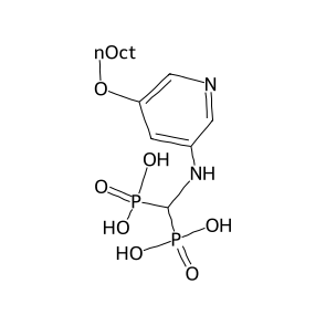 CCCCCCCCOc1cncc(NC(P(=O)(O)O)P(=O)(O)O)c1